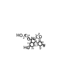 Cc1cc(-c2c(C3CCOC3)nc(OCC(=O)O)c3cc(O)ccc23)ccc1F